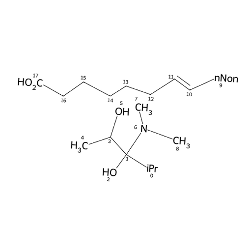 CC(C)C(O)(C(C)O)N(C)C.CCCCCCCCCC=CCCCCCC(=O)O